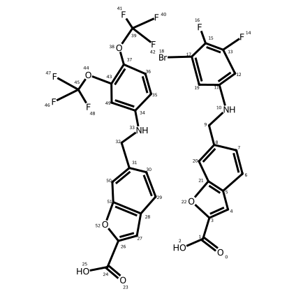 O=C(O)c1cc2ccc(CNc3cc(F)c(F)c(Br)c3)cc2o1.O=C(O)c1cc2ccc(CNc3ccc(OC(F)(F)F)c(OC(F)(F)F)c3)cc2o1